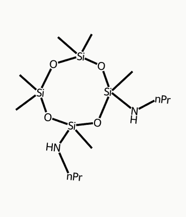 CCCN[Si]1(C)O[Si](C)(C)O[Si](C)(C)O[Si](C)(NCCC)O1